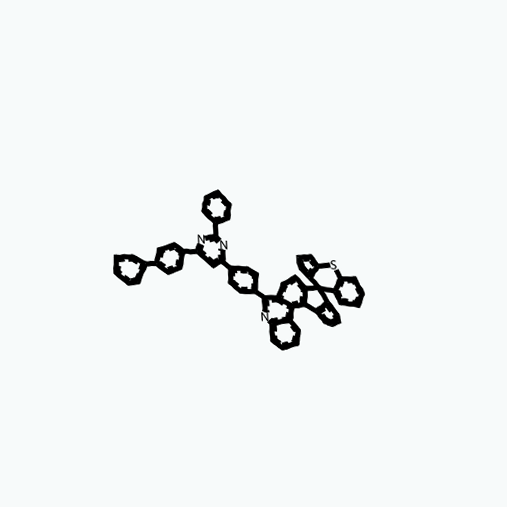 c1ccc(-c2ccc(-c3cc(-c4ccc(-c5nc6ccccc6c6c7c(ccc56)C5(c6ccccc6Sc6ccccc65)c5ccccc5-7)cc4)nc(-c4ccccc4)n3)cc2)cc1